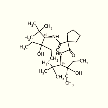 CCC(O)(CC)[C@H](NC(=O)C1(C(=O)N[C@H](C(C)(C)C)C(O)(CC)CC)CCCC1)C(C)(C)C